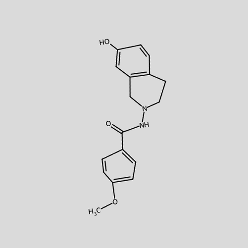 COc1ccc(C(=O)NN2CCc3ccc(O)cc3C2)cc1